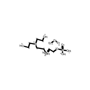 C=CCOP(=O)(O)O.CCOCC.OCCN(CCO)CCO